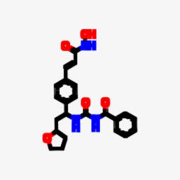 O=C(C=Cc1ccc(C(CC2CCCO2)NC(=O)NC(=O)c2ccccc2)cc1)NO